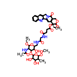 CC[C@@]1(OC(=O)CCC(=O)NCC(=O)NCC2OC(OC)C(NC(C)=O)C(OC3OC(OOC)C(C)C(O)C3O)C2O)C(=O)OCc2c1cc1n(c2=O)Cc2cc3ccccc3nc2-1